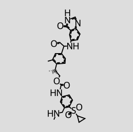 CNCc1cc(NC(=O)OC[C@H](C)c2ccc(C(C=O)Nc3ccc4nc[nH]c(=O)c4c3)cc2C)ccc1S(=O)(=O)C1CC1